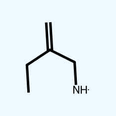 C=C(CC)C[NH]